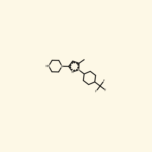 Cc1cc(N2CCNCC2)nn1C1CCC(C(F)(F)F)CC1